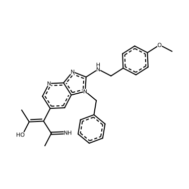 COc1ccc(CNc2nc3ncc(/C(C(C)=N)=C(\C)O)cc3n2Cc2ccccc2)cc1